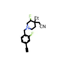 C#Cc1ccc(CN2CCC(CC)(CC#N)C(F)C2)c(F)c1